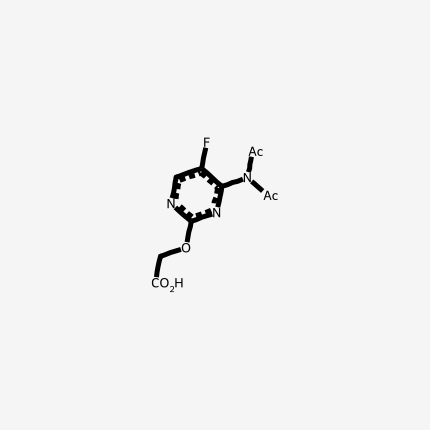 CC(=O)N(C(C)=O)c1nc(OCC(=O)O)ncc1F